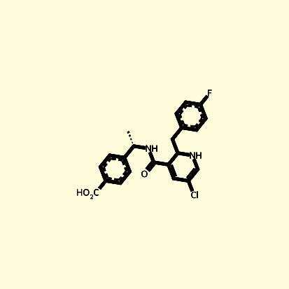 C[C@H](NC(=O)C1=CC(Cl)=CNC1Cc1ccc(F)cc1)c1ccc(C(=O)O)cc1